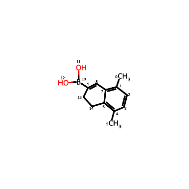 Cc1ccc(C)c2c1C=C(B(O)O)CC2